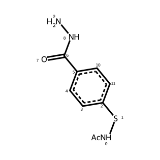 CC(=O)NSc1ccc(C(=O)NN)cc1